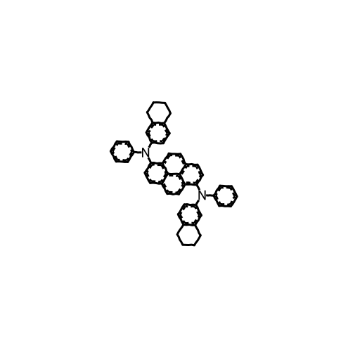 c1ccc(N(c2ccc3c(c2)CCCC3)c2ccc3ccc4c(N(c5ccccc5)c5ccc6c(c5)CCCC6)ccc5ccc2c3c54)cc1